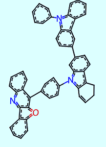 C1=Cc2c(c3ccc(-c4ccc5c(c4)c4ccccc4n5-c4ccccc4)cc3n2-c2ccc(-c3c4ccccc4nc4c3oc3ccccc34)cc2)CC1